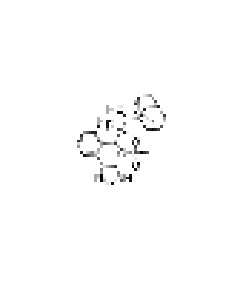 CS(=O)(=O)OC(c1c(F)cccc1-c1c[nH]cn1)C(F)(F)C(O)C12CC3CC(CC(C3)C1)C2